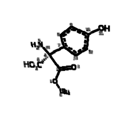 CC(C)(C)OC(=O)[C@](N)(C(=O)O)c1ccc(O)cc1